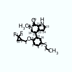 CCSc1ccc(OCC2CC2(F)F)c(-c2cn(C)c(=O)c3[nH]ccc23)c1